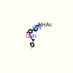 CC(=O)Nc1cn2nc(-c3ccc(C)c(C(=O)NC[C@H]4C[C@@H]4c4ccc(F)cc4)c3)ccc2n1